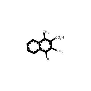 Cc1c(C(=O)O)c(C)c2ccccc2c1O